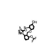 Cn1nnn(-c2cccc(OC(F)F)c2COc2ccc(O)cc2Br)c1=O